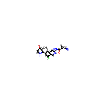 Cc1c(-c2cc(Cl)c3cnc(NC(=O)C4CC4C#N)cc3c2)[nH]ccc1=O